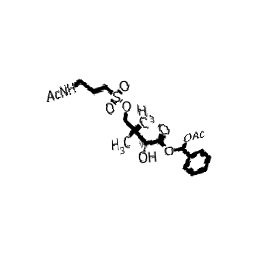 CC(=O)NCCCS(=O)(=O)OCC(C)(C)[C@@H](O)C(=O)OC(OC(C)=O)c1ccccc1